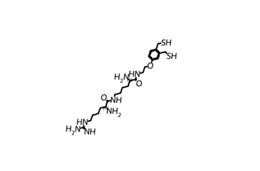 N=C(N)NCCCC[C@@H](N)C(=O)NCCCC[C@@H](N)C(=O)NCCOc1ccc(CS)c(CS)c1